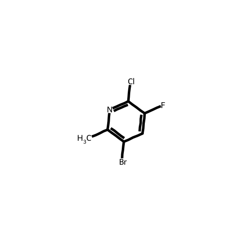 Cc1nc(Cl)c(F)cc1Br